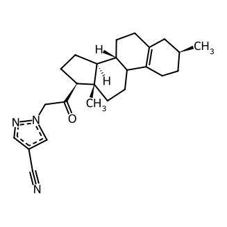 C[C@H]1CCC2=C(CC[C@@H]3C2CC[C@]2(C)[C@@H](C(=O)Cn4cc(C#N)cn4)CC[C@@H]32)C1